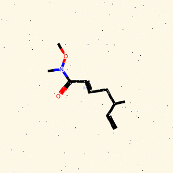 C=CC(C)C/C=C/C(=O)N(C)OC